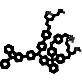 C=Cc1ccc(Oc2ccc(C3(c4ccc(CC(CC)CCCC)cc4)c4ccccc4-c4ccc(N(c5ccc(-c6ccc(OCC(CC)CCCC)cc6)cc5)c5ccc(-c6ccc7c(c6)c6ccccc6n7-c6ccccc6)cc5)cc43)cc2)cc1